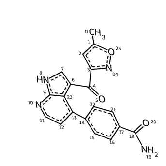 Cc1cc(C(=O)c2c[nH]c3nccc(-c4ccc(C(N)=O)cc4)c23)no1